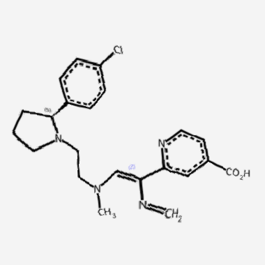 C=N/C(=C\N(C)CCN1CCC[C@H]1c1ccc(Cl)cc1)c1cc(C(=O)O)ccn1